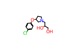 OCC(O)CN1CCC(Oc2ccc(Cl)cc2)C1